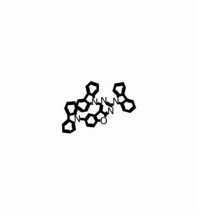 c1ccc2c(c1)c1ccccc1n2-c1ccc2oc3nc(-n4c5ccccc5c5ccccc54)nc(-n4c5ccccc5c5ccccc54)c3c2c1